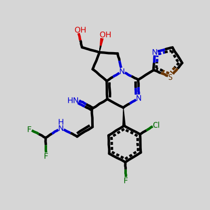 N=C(/C=C\NC(F)F)C1=C2C[C@](O)(CO)CN2C(c2nccs2)=N[C@H]1c1ccc(F)cc1Cl